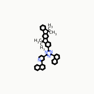 CC1(C)c2ccccc2-c2cc3c(cc21)-c1ccc(-c2nc(-c4ccnc(-c5cccc6ccccc56)c4)nc(-c4cccc5ccccc45)n2)cc1C3(C)C